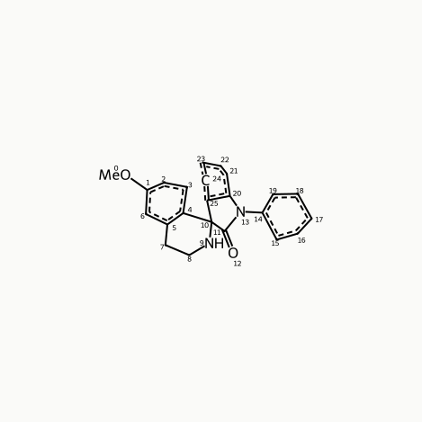 COc1ccc2c(c1)CCNC21C(=O)N(c2ccccc2)c2ccccc21